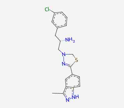 Cc1n[nH]c2ccc(C3=NN(C[C@@H](N)Cc4cccc(Cl)c4)CS3)cc12